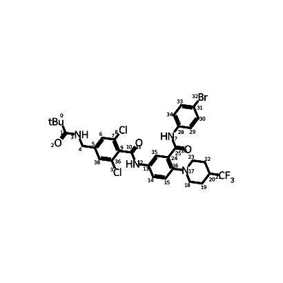 CC(C)(C)C(=O)NCc1cc(Cl)c(C(=O)Nc2ccc(N3CCC(C(F)(F)F)CC3)c(C(=O)Nc3ccc(Br)cc3)c2)c(Cl)c1